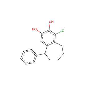 Oc1cc2c(c(Cl)c1O)CCCCC2c1ccccc1